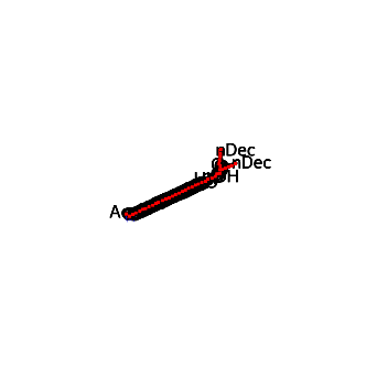 CCCCCCCCCCCCCCCCCC(=O)OC[C@H](COP(=O)(O)OCCNC(=O)OCCOOOOOOOOOOOOOOOOOOOOOOOOOOOOOOOOOOOOOOOOOOOO/C=C\OCC(C)=O)OC(=O)CCCCCCCCCCCCCCCCC